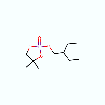 CCC(CC)COP1(=O)OCC(C)(C)O1